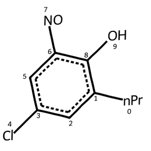 CCCc1cc(Cl)cc(N=O)c1O